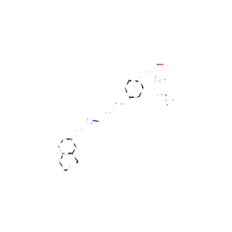 O=CC(Oc1ccc(CCCCC=NOCc2ccc3ccccc3c2)cc1)N1CCC2(CC1)CC2